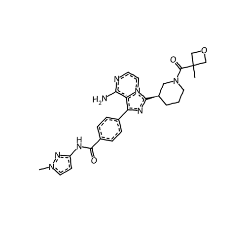 Cn1ccc(NC(=O)c2ccc(-c3nc([C@@H]4CCCN(C(=O)C5(C)COC5)C4)n4ccnc(N)c34)cc2)n1